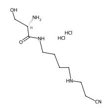 Cl.Cl.N#CCCNCCCCNC(=O)[C@@H](N)CO